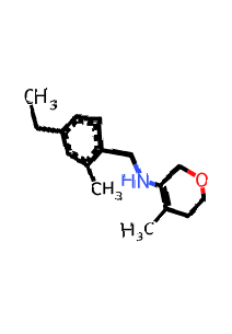 CCc1ccc(CNC2=C(C)CCOC2)c(C)c1